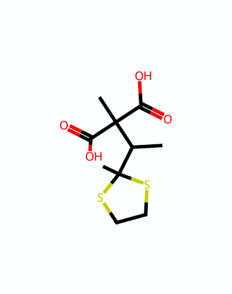 CC(C1(C)SCCS1)C(C)(C(=O)O)C(=O)O